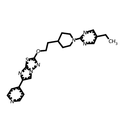 CCc1cnc(N2CCC(CCOc3nn4cc(-c5ccncc5)nc4s3)CC2)nc1